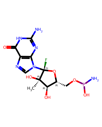 C[C@@]1(O)[C@H](O)[C@@H](COP(N)O)O[C@@]1(F)n1cnc2c(=O)[nH]c(N)nc21